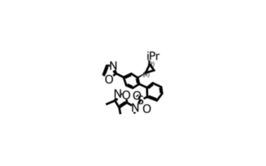 Cc1noc(N(C)S(=O)(=O)c2ccccc2-c2ccc(-c3ncco3)cc2[C@@H]2C[C@@H]2C(C)C)c1C